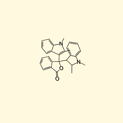 Cc1c(C2(C3c4ccccc4N(C)C3C)OC(=O)c3ccccc32)c2ccccc2n1C